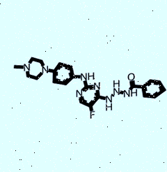 CN1CCN(c2ccc(Nc3ncc(F)c(NNNC(=O)c4ccccc4)n3)cc2)CC1